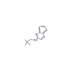 CC(C)(C)CPc1cnc2ccccc2n1